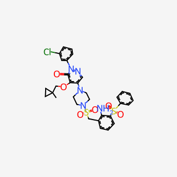 CC1(COc2c(N3CCN(S(=O)(=O)Cc4cccc(S(=O)(=O)c5ccccc5)c4N)CC3)cnn(-c3cccc(Cl)c3)c2=O)CC1